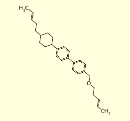 CC=CCCOCc1ccc(-c2ccc(C3CCC(CCC=CC)CC3)cc2)cc1